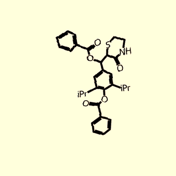 CC(C)c1cc(C(OC(=O)c2ccccc2)C2SCCNC2=O)cc(C(C)C)c1OC(=O)c1ccccc1